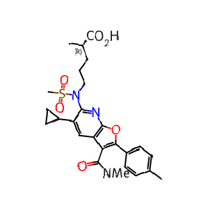 CNC(=O)c1c(-c2ccc(C)cc2)oc2nc(N(CCC[C@@H](C)C(=O)O)S(C)(=O)=O)c(C3CC3)cc12